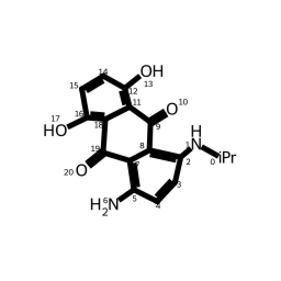 CC(C)Nc1ccc(N)c2c1C(=O)c1c(O)ccc(O)c1C2=O